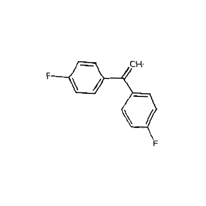 [CH]=C(c1ccc(F)cc1)c1ccc(F)cc1